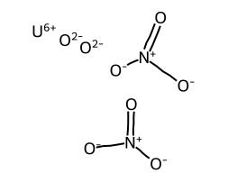 O=[N+]([O-])[O-].O=[N+]([O-])[O-].[O-2].[O-2].[U+6]